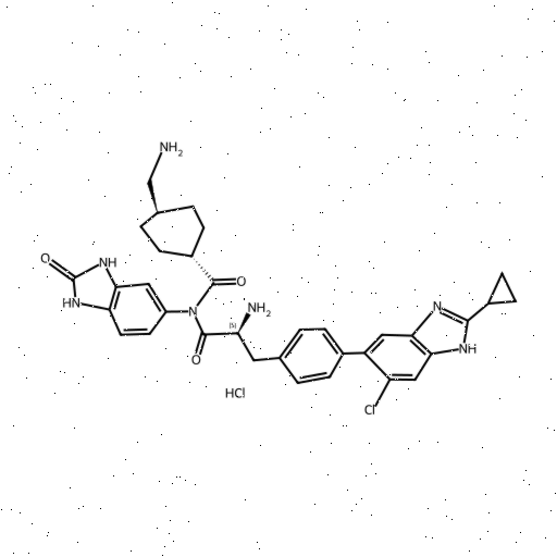 Cl.NC[C@H]1CC[C@H](C(=O)N(C(=O)[C@@H](N)Cc2ccc(-c3cc4nc(C5CC5)[nH]c4cc3Cl)cc2)c2ccc3[nH]c(=O)[nH]c3c2)CC1